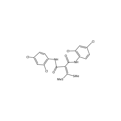 CSC(SC)=C(C(=O)Nc1ccc(Cl)cc1Cl)C(=O)Nc1ccc(Cl)cc1Cl